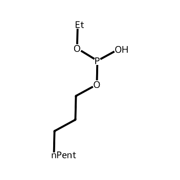 CCCCCCCCOP(O)OCC